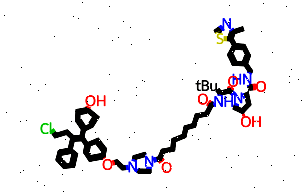 Cc1ncsc1-c1ccc(CNC(=O)[C@@H]2C[C@@H](O)CN2C(=O)C(NC(=O)CCCCCCCCC(=O)N2CCN(CCOc3ccc(C(=C(CCCl)c4ccccc4)c4ccc(O)cc4)cc3)CC2)C(C)(C)C)cc1